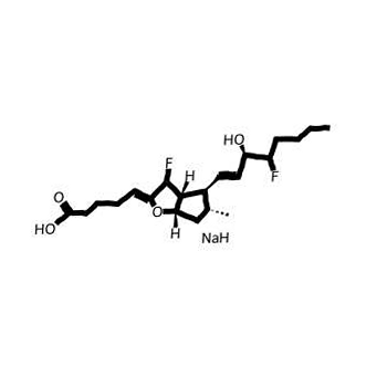 CCCCC(F)[C@H](O)/C=C/[C@@H]1[C@H]2C(F)/C(=C/CCCC(=O)O)O[C@H]2C[C@H]1C.[NaH]